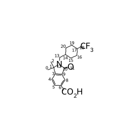 CC1(C)c2ccc(C(=O)O)cc2C(=O)N1CC1CCC(C(F)(F)F)CC1